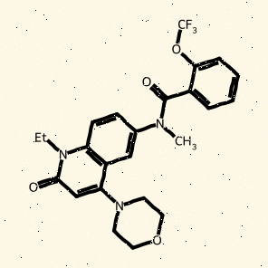 CCn1c(=O)cc(N2CCOCC2)c2cc(N(C)C(=O)c3ccccc3OC(F)(F)F)ccc21